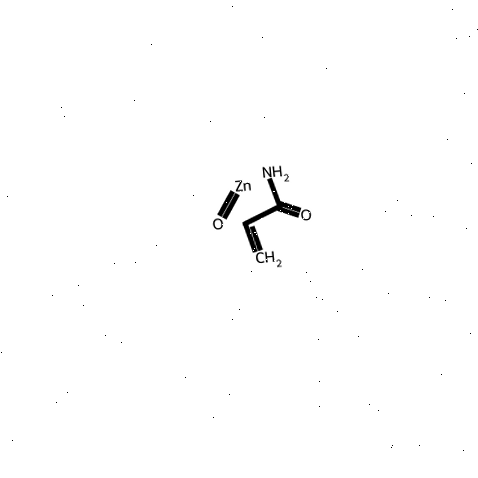 C=CC(N)=O.[O]=[Zn]